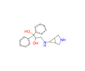 OC(CNC1C2CNCC21)C(O)(c1ccccc1)c1ccccc1